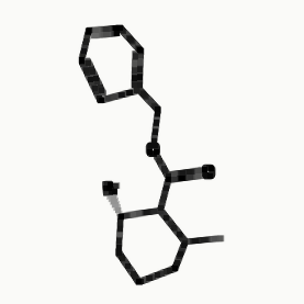 CC1CCC[C@H](Br)C1C(=O)OCc1ccccc1